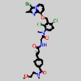 COCCN(C)C(=O)c1ccc(/C=C/C(=O)NCC(=O)N(C)c2ccc(Cl)c(COc3cccn4c(Br)c(C)nc34)c2Cl)cc1